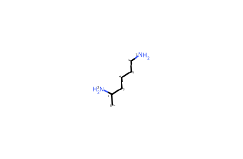 [CH2]C(N)CCCCN